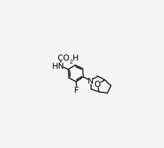 O=C(O)Nc1ccc(N2CC3CCC(C2)O3)c(F)c1